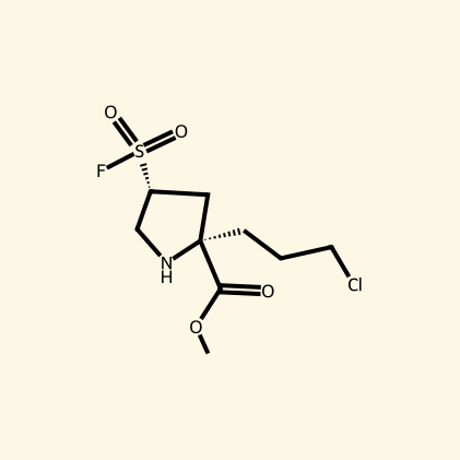 COC(=O)[C@]1(CCCCl)C[C@@H](S(=O)(=O)F)CN1